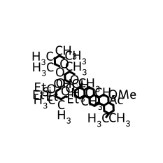 CCC1O[C@@H](OC2[C@H](O[C@H]3CCC4(C)C5CC=C6C7CC(C)(C)CC[C@]7(C(C)=O)C(OC)C[C@@]6(C)C5(C)CC[C@H]4[C@@]3(C)C=O)OC[C@@H](C)[C@@H]2O[C@@H]2O[C@@H](C)[C@H](C)C(C)C2C)C(O[Si](CC)(CC)CC)[C@@H](C)[C@H]1C